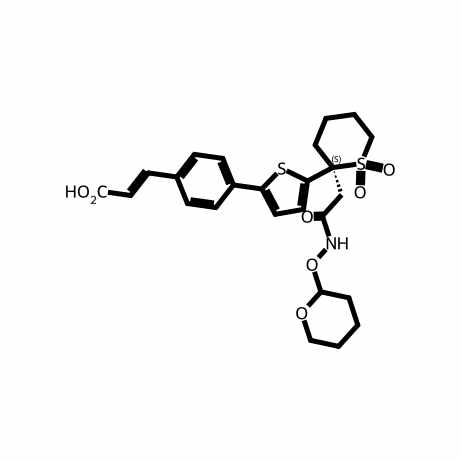 O=C(O)C=Cc1ccc(-c2ccc([C@@]3(CC(=O)NOC4CCCCO4)CCCCS3(=O)=O)s2)cc1